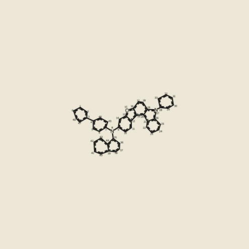 c1ccc(-c2ccc(N(c3ccc4c(c3)oc3ccc5c(c6ccccc6n5-c5ccccc5)c34)c3cccc4ccccc34)cc2)cc1